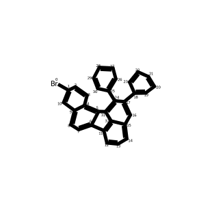 Brc1ccc2c3c(ccc2c1)-c1cccc2cc(-c4ccccc4)c(-c4ccccc4)c-3c12